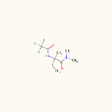 CCC(C)(NC(=O)C(F)(F)F)C(=O)N(C)C